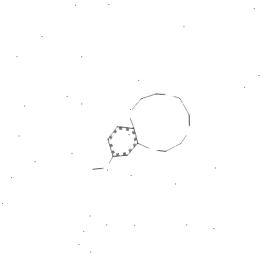 O=COc1ccc2c(c1)OCCOCCOCCO2